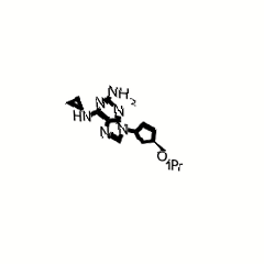 CC(C)OC[C@@H]1C=CC(n2cnc3c(NC4CC4)nc(N)nc32)C1